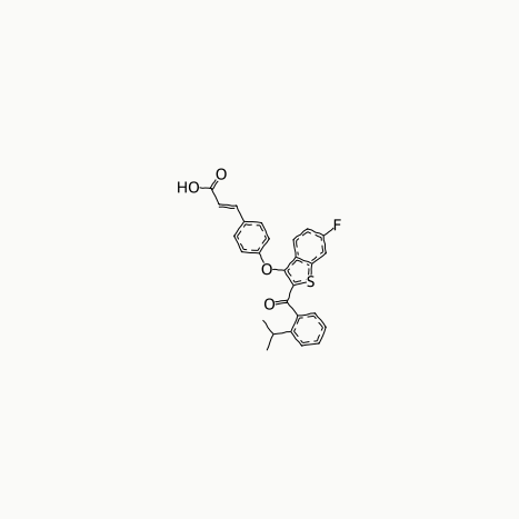 CC(C)c1ccccc1C(=O)c1sc2cc(F)ccc2c1Oc1ccc(/C=C/C(=O)O)cc1